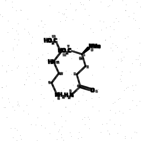 CN[C@@H](CCC(N)=O)C(=O)O.NCCNCC(=O)O